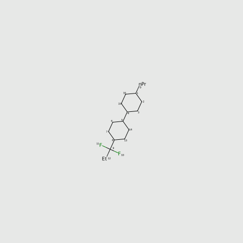 CCCC1CCC(C2CCC(C(F)(F)CC)CC2)CC1